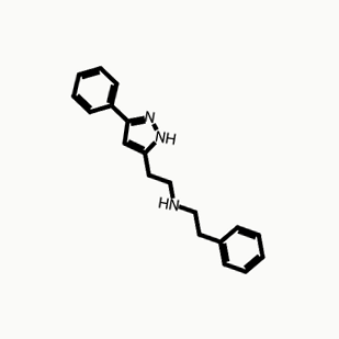 c1ccc(CCNCCc2cc(-c3ccccc3)n[nH]2)cc1